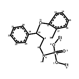 CCOP(=O)(OCC)N(C)CCC(Oc1ccccc1C)c1ccccc1